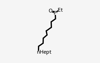 CCCCCCCCCCCCCCC[P](=O)CC